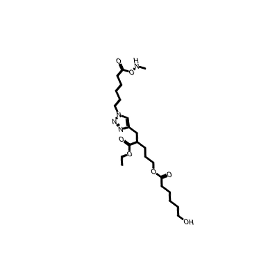 CCOC(=O)C(CCCOC(=O)CCCCCO)Cc1cn(CCCCCC(=O)ONC)nn1